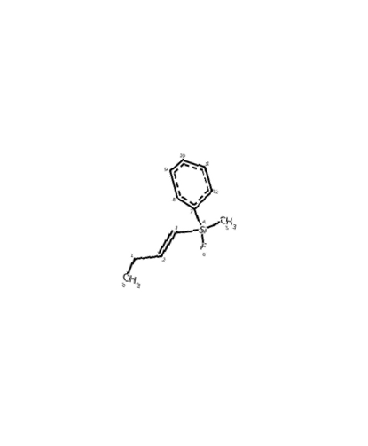 CCC=C[Si](C)(F)c1ccccc1